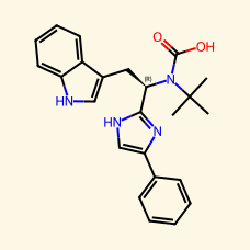 CC(C)(C)N(C(=O)O)[C@H](Cc1c[nH]c2ccccc12)c1nc(-c2ccccc2)c[nH]1